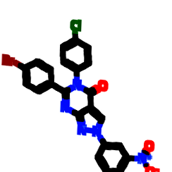 O=c1c2cn(-c3cccc([N+](=O)[O-])c3)nc2nc(-c2ccc(Br)cc2)n1-c1ccc(Cl)cc1